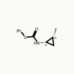 CC(C)OC(=O)N[C@H]1C[C@H]1F